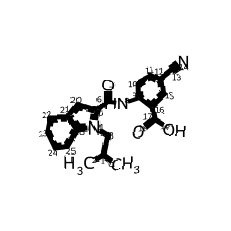 CC(C)Cn1c(C(=O)Nc2ccc(C#N)cc2C(=O)O)cc2ccccc21